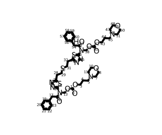 O=C(OCCCN1CCOCC1)OCN(C(=O)Cc1ccccc1)c1nnc(CCSCCc2nnc(N(COC(=O)OCCCN3CCOCC3)C(O)Cc3ccccc3)s2)s1